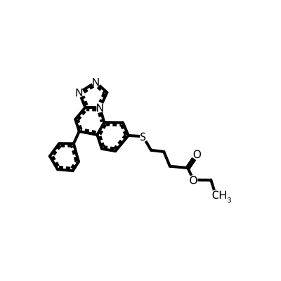 CCOC(=O)CCCSc1ccc2c(-c3ccccc3)cc3nncn3c2c1